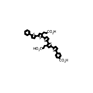 O=C(O)CCc1cc(-c2ccc(-c3ccccc3)s2)sc1-c1ccc(-c2sc(-c3ccc(-c4ccc(C(=O)O)cc4)s3)cc2CCC(=O)O)s1